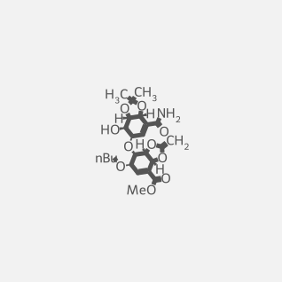 C=C1O[C@H]2[C@H](O[C@H]3C=C(C(N)=O)[C@H]4OC(C)(C)O[C@H]4[C@@H]3O)[C@@H](OCCCC)C=C(C(=O)OC)[C@H]2O1